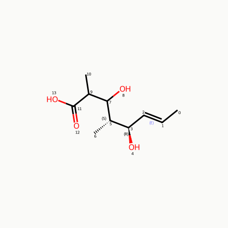 C/C=C/[C@@H](O)[C@H](C)C(O)C(C)C(=O)O